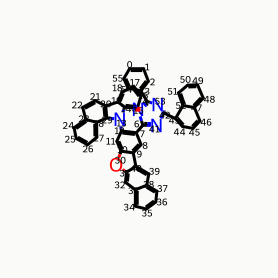 c1ccc(-c2nc(-c3cc4c(cc3-n3c5ccccc5c5ccc6ccccc6c53)oc3cc5ccccc5cc34)nc(-c3cccc4ccccc34)n2)cc1